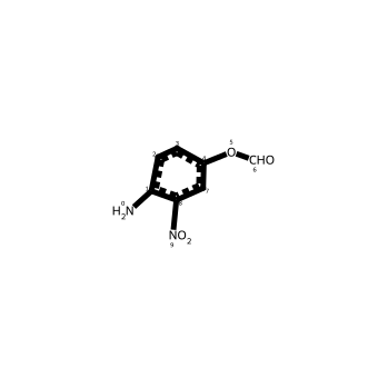 Nc1ccc(OC=O)cc1[N+](=O)[O-]